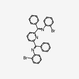 Brc1ccccc1/N=C(\c1ccccc1)c1cccc(/C(=N/c2ccccc2Br)c2ccccc2)n1